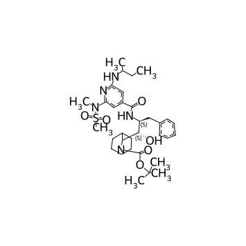 CCC(C)Nc1cc(C(=O)N[C@@H](Cc2ccccc2)[C@H](O)C2C3CCC(CC3)N2C(=O)OC(C)(C)C)cc(N(C)S(C)(=O)=O)n1